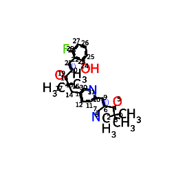 CC(C)(C)C(=O)/C(C#N)=C/c1ccc(CC(C)(C)C(=O)/C=C/c2c(O)cccc2F)cn1